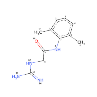 Cc1cccc(C)c1NC(=O)CNC(=N)N